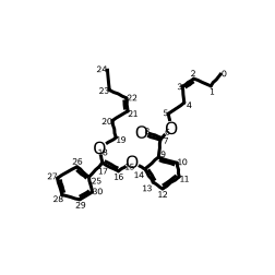 CC/C=C\CCOC(=O)c1ccccc1OC=C(OCC/C=C\CC)c1ccccc1